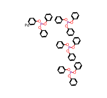 [Pd].c1ccc(OP(Oc2ccccc2)Oc2ccccc2)cc1.c1ccc(OP(Oc2ccccc2)Oc2ccccc2)cc1.c1ccc(OP(Oc2ccccc2)Oc2ccccc2)cc1.c1ccc(OP(Oc2ccccc2)Oc2ccccc2)cc1